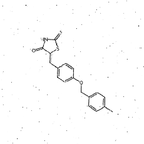 Cc1ccc(COc2ccc(/C=C3\SC(=S)NC3=O)cc2)cc1